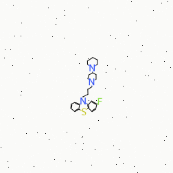 Fc1ccc2c(c1)N(CCCCN1CCC(N3CCCCC3)CC1)c1ccccc1S2